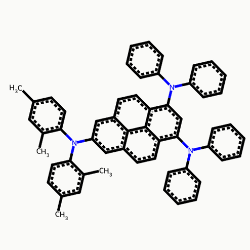 Cc1ccc(N(c2cc3ccc4c(N(c5ccccc5)c5ccccc5)cc(N(c5ccccc5)c5ccccc5)c5ccc(c2)c3c45)c2ccc(C)cc2C)c(C)c1